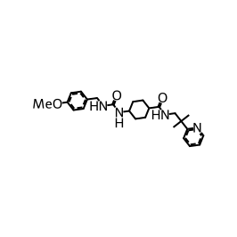 COc1ccc(CNC(=O)NC2CCC(C(=O)NCC(C)(C)c3ccccn3)CC2)cc1